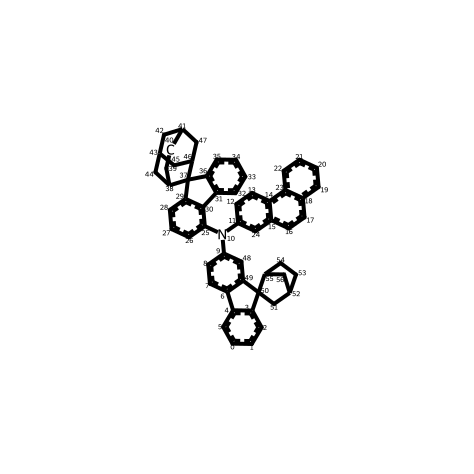 c1ccc2c(c1)-c1ccc(N(c3ccc4c(ccc5ccccc54)c3)c3cccc4c3-c3ccccc3C43C4CCC5CC(C4)CC3C5)cc1C21CC2CCC1C2